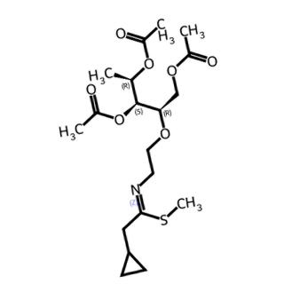 CS/C(CC1CC1)=N\CCO[C@H](COC(C)=O)[C@@H](OC(C)=O)[C@@H](C)OC(C)=O